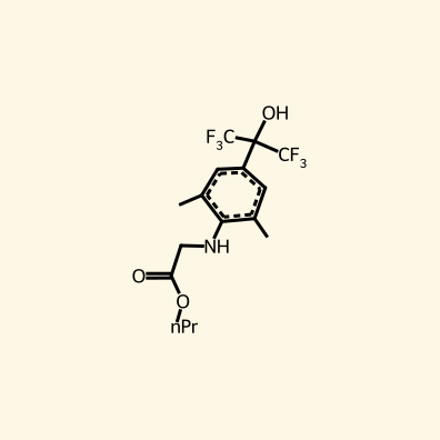 CCCOC(=O)CNc1c(C)cc(C(O)(C(F)(F)F)C(F)(F)F)cc1C